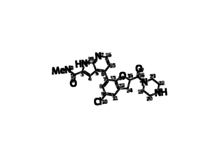 CNC(=O)c1cc2c(-c3cc(Cl)cc4c3OC(C(=O)N3CCNCC3)C4)ccnc2[nH]1